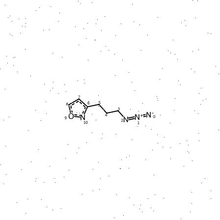 [N-]=[N+]=NCC[CH]c1ccon1